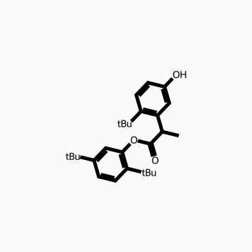 CC(C(=O)Oc1cc(C(C)(C)C)ccc1C(C)(C)C)c1cc(O)ccc1C(C)(C)C